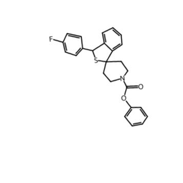 O=C(Oc1ccccc1)N1CCC2(CC1)SC(c1ccc(F)cc1)c1ccccc12